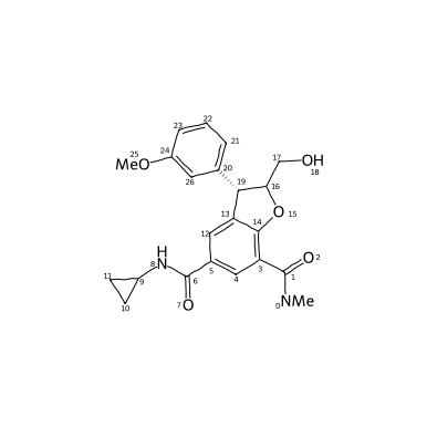 CNC(=O)c1cc(C(=O)NC2CC2)cc2c1OC(CO)[C@H]2c1cccc(OC)c1